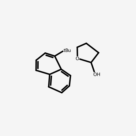 CC(C)(C)c1cccc2ccccc12.OC1CCCO1